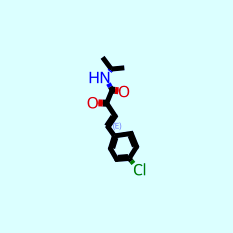 CC(C)NC(=O)C(=O)/C=C/c1ccc(Cl)cc1